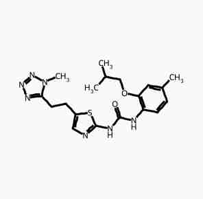 Cc1ccc(NC(=O)Nc2ncc(CCc3nnnn3C)s2)c(OCC(C)C)c1